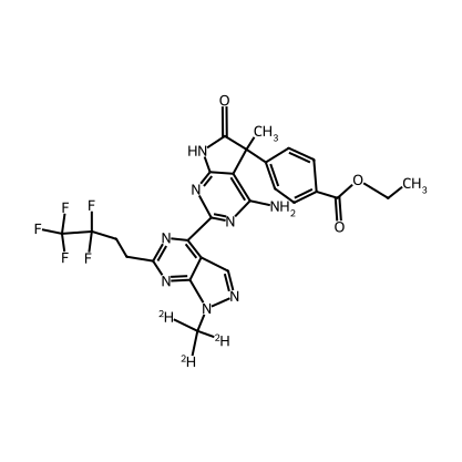 [2H]C([2H])([2H])n1ncc2c(-c3nc(N)c4c(n3)NC(=O)C4(C)c3ccc(C(=O)OCC)cc3)nc(CCC(F)(F)C(F)(F)F)nc21